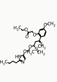 CCCCc1ncc(OCOC(CC(=S)c2ccc(OC)cc2OCC(=O)OCC)[Si](C)(C)C)[nH]1